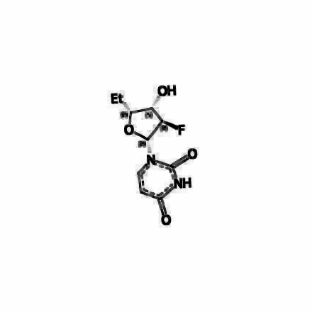 CC[C@H]1O[C@@H](n2ccc(=O)[nH]c2=O)[C@H](F)[C@H]1O